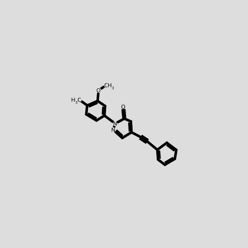 COc1cc(-n2ncc(C#Cc3ccccc3)cc2=O)ccc1C